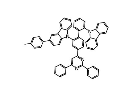 Cc1ccc(-c2ccc3c(c2)c2ccccc2n3-c2cc(-c3cc(-c4ccccc4)nc(-c4ccccc4)n3)ccc2-c2ccccc2-n2c3ccccc3c3ccccc32)cc1